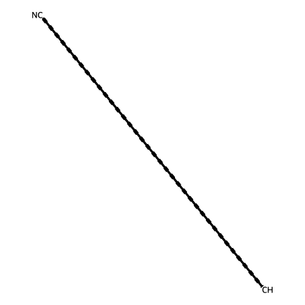 C#CC#CC#CC#CC#CC#CC#CC#CC#CC#CC#CC#CC#CC#CC#CC#CC#CC#CC#CC#CC#CC#CC#CC#CC#CC#CC#CC#CC#CC#CC#CC#CC#CC#CC#CC#CC#CC#N